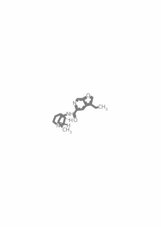 CCc1coc2cnc(C(=O)N[C@@H]3C4CCN(CC4)[C@H]3C)cc12